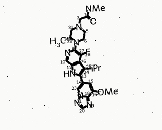 CNC(=O)CN1CCN(c2ncc3[nH]c(-c4cc(OC)c5ncnn5c4)c(C(C)C)c3c2F)[C@H](C)C1